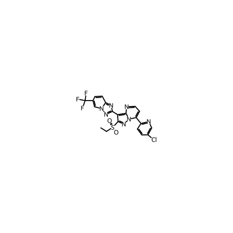 CCS(=O)(=O)c1nn2c(-c3ccc(Cl)cn3)ccnc2c1-c1nc2ccc(C(F)(F)F)cn2n1